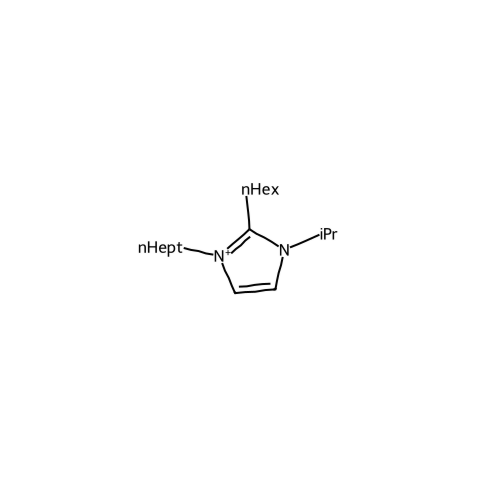 CCCCCCC[n+]1ccn(C(C)C)c1CCCCCC